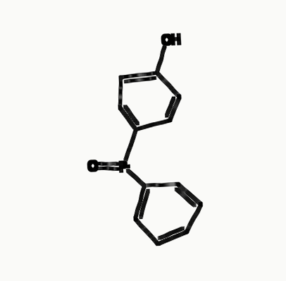 O=[P](c1ccccc1)c1ccc(O)cc1